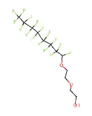 OCCOCCOC(F)C(F)(F)C(F)(F)C(F)(F)C(F)(F)C(F)(F)C(F)(F)C(F)(F)F